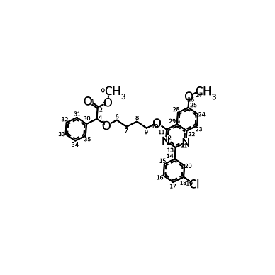 COC(=O)C(OCCCCOc1nc(-c2cccc(Cl)c2)nc2ccc(OC)cc12)c1ccccc1